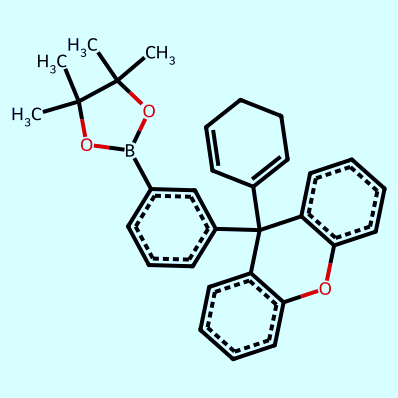 CC1(C)OB(c2cccc(C3(C4=CCCC=C4)c4ccccc4Oc4ccccc43)c2)OC1(C)C